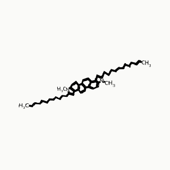 CCCCCCCCCCCCc1cc2c3ccc4c(ccc5c4ccc4c5cc(CCCCCCCCCCCC)n4C)c3ccc2n1C